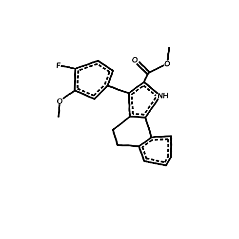 COC(=O)c1[nH]c2c(c1-c1ccc(F)c(OC)c1)CCc1ccccc1-2